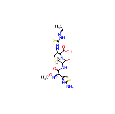 CC=NNC(=S)NCC1=C(C(=O)O)N2C(=O)C(NC(=O)/C(=N\OC)c3csc(N)n3)[C@@H]2SC1